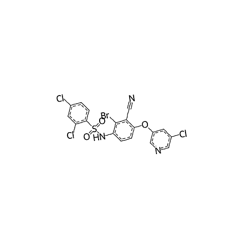 N#Cc1c(Oc2cncc(Cl)c2)ccc(NS(=O)(=O)c2ccc(Cl)cc2Cl)c1Br